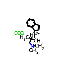 CN(C)C[C](C)(C)[Hf+3][CH]1C=Cc2ccccc21.[Cl-].[Cl-].[Cl-]